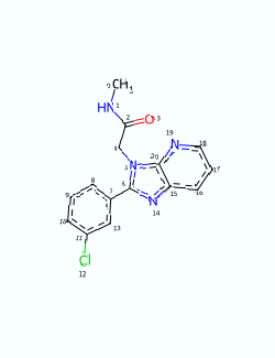 CNC(=O)Cn1c(-c2cccc(Cl)c2)nc2cccnc21